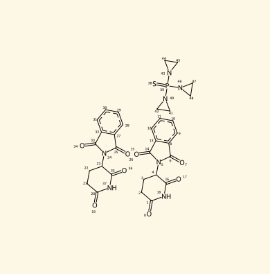 O=C1CCC(N2C(=O)c3ccccc3C2=O)C(=O)N1.O=C1CCC(N2C(=O)c3ccccc3C2=O)C(=O)N1.S=P(N1CC1)(N1CC1)N1CC1